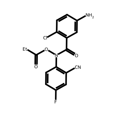 CCC(=O)ON(C(=O)c1cc(N)ccc1Cl)c1ccc(F)cc1C#N